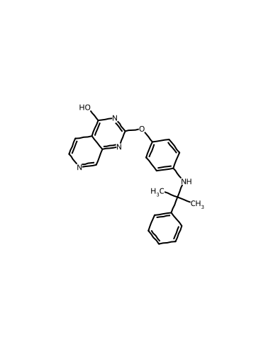 CC(C)(Nc1ccc(Oc2nc(O)c3ccncc3n2)cc1)c1ccccc1